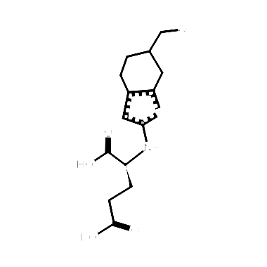 O=C(O)CC[C@H](Nc1cc2c(s1)CC(CBr)CC2)C(=O)O